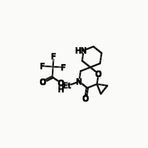 CCN1CC2(CCCNC2)OC2(CC2)C1=O.O=C(O)C(F)(F)F